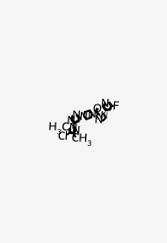 Cc1nn(-c2cc(N3CCN(C(=O)N4N=CC[C@H]4c4cncc(F)c4)CC3)ncn2)c(C)c1Cl